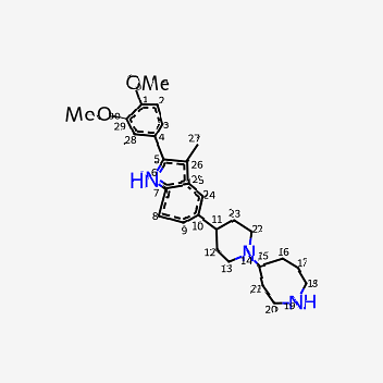 COc1ccc(-c2[nH]c3ccc(C4CCN(C5CCCNCC5)CC4)cc3c2C)cc1OC